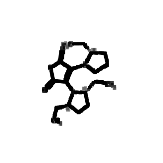 CC[C@@H]1CCCP1C1=C(P2[C@H](CC)CC[C@H]2CC)C(=O)OC1=O